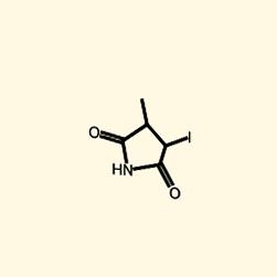 CC1C(=O)NC(=O)C1I